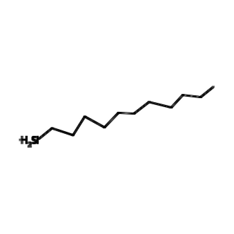 CCCCCCCCCCC[SiH2]